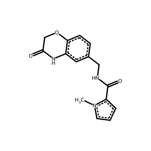 Cn1cccc1C(=O)NCc1ccc2c(c1)NC(=O)CO2